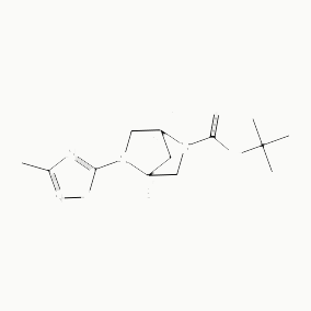 Cc1noc(N2C[C@@H]3C[C@H]2CN3C(=O)OC(C)(C)C)n1